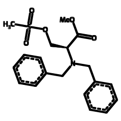 COC(=O)[C@H](COS(C)(=O)=O)N(Cc1ccccc1)Cc1ccccc1